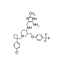 Cc1nc(CNC2CCN(CC3(c4ccc(Cl)cc4)CCC3)CC2COc2ccc(C(F)(F)F)cc2)c(N)[nH]1